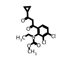 CCN(C(=O)OC)c1c(C(=O)CC(=O)C2CC2)ccc(Cl)c1Cl